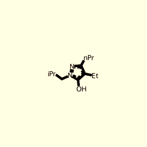 CCCc1nn(CC(C)C)c(O)c1CC